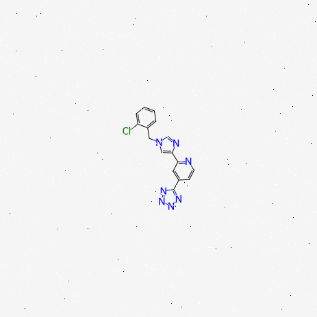 Clc1ccccc1Cn1cnc(-c2cc(C3=N[N]N=N3)ccn2)c1